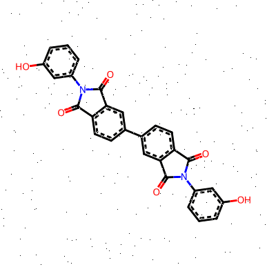 O=C1c2ccc(-c3ccc4c(c3)C(=O)N(c3cccc(O)c3)C4=O)cc2C(=O)N1c1cccc(O)c1